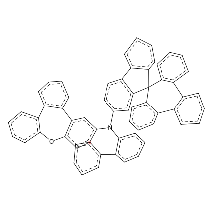 c1ccc(-c2ccccc2N(c2ccc3c(c2)-c2ccccc2-c2ccccc2O3)c2ccc3c(c2)C2(c4ccccc4-c4ccccc4-c4ccccc42)c2ccccc2-3)cc1